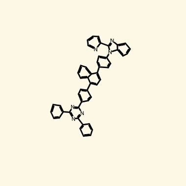 c1ccc(-c2nc(-c3ccccc3)nc(-c3ccc(-c4ccc(-c5ccc(-n6c(-c7ccccn7)nc7ccccc76)cc5)c5ccccc45)cc3)n2)cc1